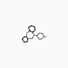 c1ccc2c(c1)CN(C1CCNCC1)c1ccccc1S2